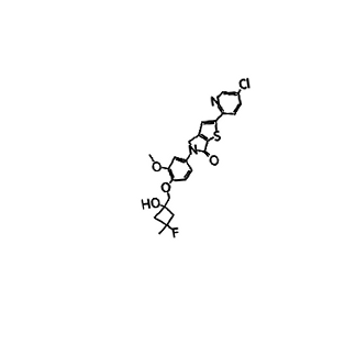 COc1cc(N2Cc3cc(-c4ccc(Cl)cn4)sc3C2=O)ccc1OCC1(O)CC(C)(F)C1